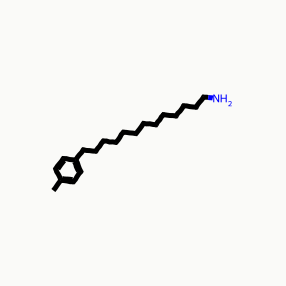 Cc1ccc(CCCCCCCCCCCCCN)cc1